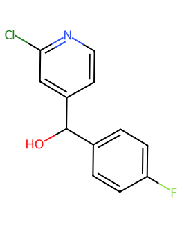 OC(c1ccc(F)cc1)c1ccnc(Cl)c1